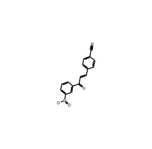 N#Cc1ccc(/C=C/C(=O)c2cccc([N+](=O)[O-])c2)cc1